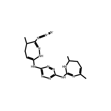 CC1=CCC(C)NC(Nc2nnc(NC3=CCC(C)C(N=[N+]=[N-])=NN3)nn2)=N1